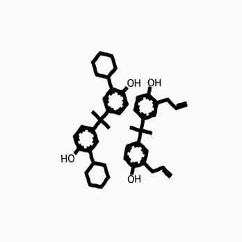 C=CCc1cc(C(C)(C)c2ccc(O)c(CC=C)c2)ccc1O.CC(C)(c1ccc(O)c(C2CCCCC2)c1)c1ccc(O)c(C2CCCCC2)c1